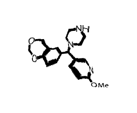 COc1ccc(C(c2ccc3c(c2)COCO3)N2CCNCC2)cn1